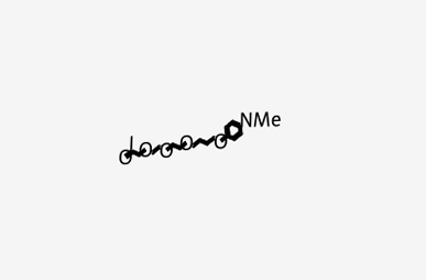 CNc1ccc(OCCCCOCCOCCOCC(=O)I)cc1